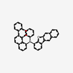 c1ccc(N(c2cccc3c2oc2cc4ccccc4cc23)c2cccc3ccc4c5ccccc5ccc4c23)cc1